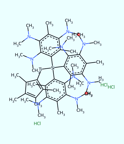 CC1=C(C)C(C)[C]([Ti][Si](c2c(C)c(N(C)C)c(C)c(N(C)C)c2N(C)C)(c2c(C)c(N(C)C)c(C)c(N(C)C)c2N(C)C)c2c(C)c(N(C)C)c(C)c(N(C)C)c2N(C)C)=C1C.Cl.Cl.Cl